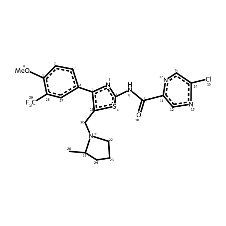 COc1ccc(-c2nc(NC(=O)c3cnc(Cl)cn3)sc2CN2CCCC2C)cc1C(F)(F)F